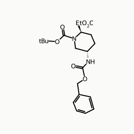 CCOC(=O)[C@H]1CC[C@H](NC(=O)OCc2ccccc2)CN1C(=O)OC(C)(C)C